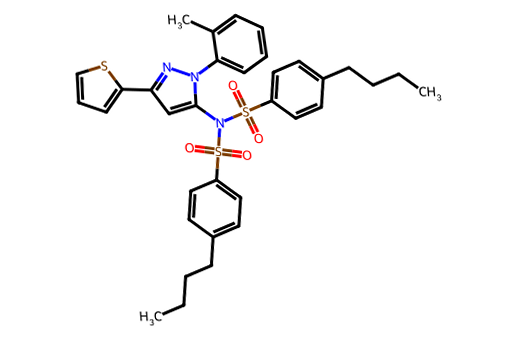 CCCCc1ccc(S(=O)(=O)N(c2cc(-c3cccs3)nn2-c2ccccc2C)S(=O)(=O)c2ccc(CCCC)cc2)cc1